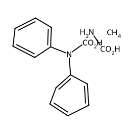 C.NC(=O)O.O=C(O)N(c1ccccc1)c1ccccc1